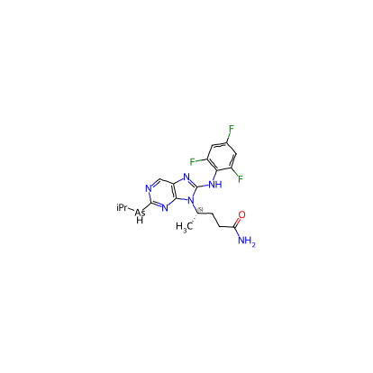 CC(C)[AsH]c1ncc2nc(Nc3c(F)cc(F)cc3F)n([C@@H](C)CCC(N)=O)c2n1